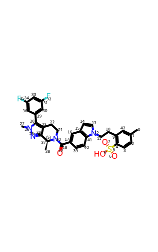 Cc1ccc(S(=O)(=O)O)c(CCn2ccc3cc(C(=O)N4CCc5c(nn(C)c5-c5cc(F)cc(F)c5)[C@@H]4C)ccc32)c1